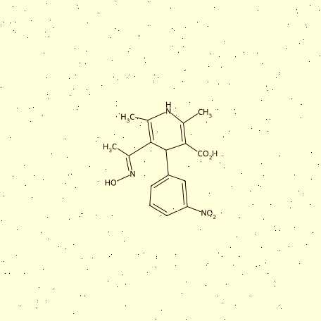 CC(=NO)C1=C(C)NC(C)=C(C(=O)O)C1c1cccc([N+](=O)[O-])c1